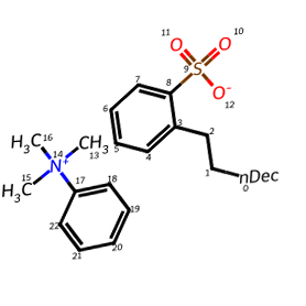 CCCCCCCCCCCCc1ccccc1S(=O)(=O)[O-].C[N+](C)(C)c1ccccc1